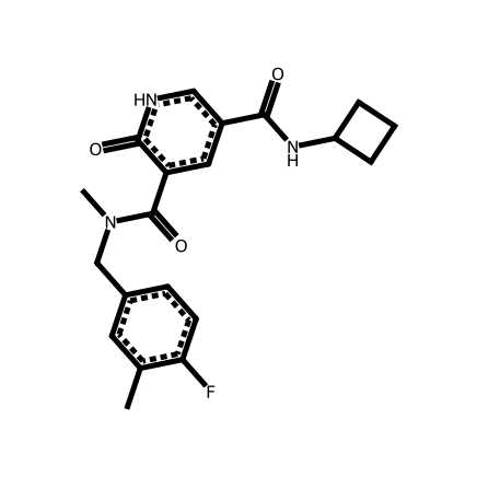 Cc1cc(CN(C)C(=O)c2cc(C(=O)NC3CCC3)c[nH]c2=O)ccc1F